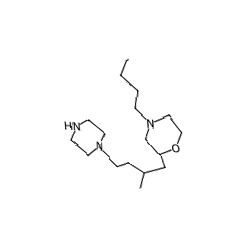 CCCCN1CCOC(CC(C)CCN2CCNCC2)C1